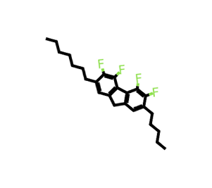 CCCCCCCc1cc2c(c(F)c1F)-c1c(cc(CCCCC)c(F)c1F)C2